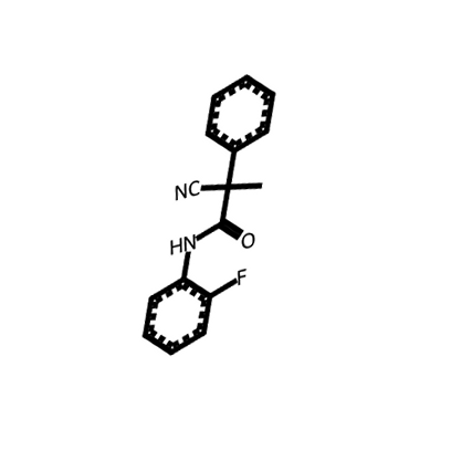 CC(C#N)(C(=O)Nc1ccccc1F)c1ccccc1